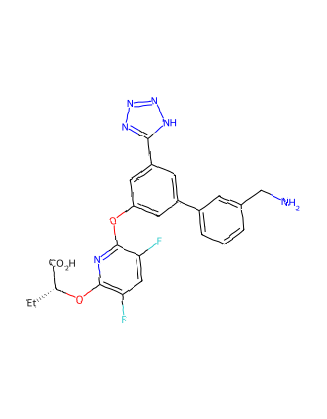 CC[C@@H](Oc1nc(Oc2cc(-c3cccc(CN)c3)cc(-c3nnn[nH]3)c2)c(F)cc1F)C(=O)O